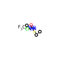 O=c1c2nnc(SCc3ccccc3-c3ccccc3)n2ccn1-c1cccc(C(F)(F)F)c1Cl